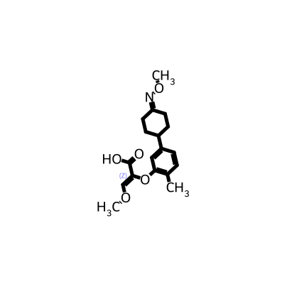 CO/C=C(\Oc1cc(C2CCC(=NOC)CC2)ccc1C)C(=O)O